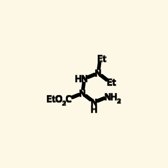 CCOC(=O)N(NN)NN(CC)CC